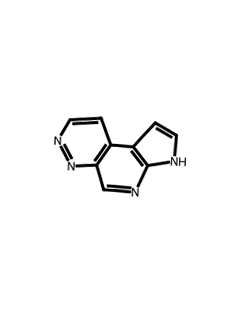 c1cc2c(cnc3[nH]ccc32)nn1